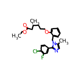 CCOC(=O)C[C@H](C)CCCOc1ccccc1Cn1c(C)cnc1-c1ccc(Cl)c(F)c1